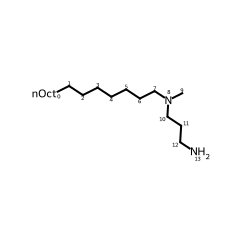 CCCCCCCCCCCCCCCN(C)CCCN